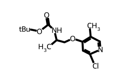 Cc1cnc(Cl)cc1OCC(C)NC(=O)OC(C)(C)C